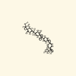 CCC(C)(CC)Oc1ccc(C(C)(C)c2ccc(OC(=O)c3ccc(Oc4ccc(C(=O)C(C)(CC)CC)cc4)cc3)c(C)c2)cc1C